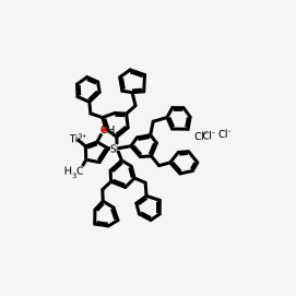 CC1=[C]([Ti+3])C(C)C=C1[Si](c1cc(Cc2ccccc2)cc(Cc2ccccc2)c1)(c1cc(Cc2ccccc2)cc(Cc2ccccc2)c1)c1cc(Cc2ccccc2)cc(Cc2ccccc2)c1.[Cl-].[Cl-].[Cl-]